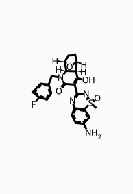 CS1(=O)=NC(C2=C(O)[C@H]3[C@H]([C@@H]4CC[C@H]3O4)N(Cc3ccc(F)cc3)C2=O)=Nc2ccc(N)cc21